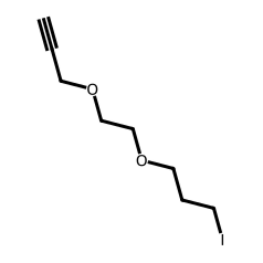 C#CCOCCOCCCI